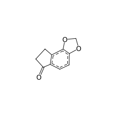 O=C1CCc2c1ccc1c2OCO1